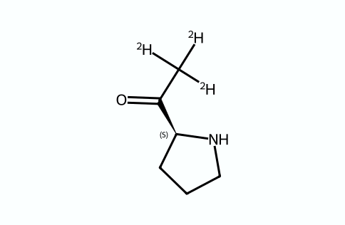 [2H]C([2H])([2H])C(=O)[C@@H]1CCCN1